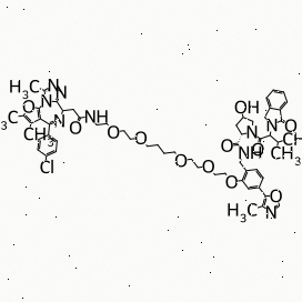 Cc1ncoc1-c1ccc(CNC(=O)[C@@H]2CC(O)CN2C(=O)C(C(C)C)N2Cc3ccccc3C2=O)c(OCCOCCOCCCCOCCOCCNC(=O)CC2N=C(c3ccc(Cl)cc3)c3c(oc(C)c3C)-n3c(C)nnc32)c1